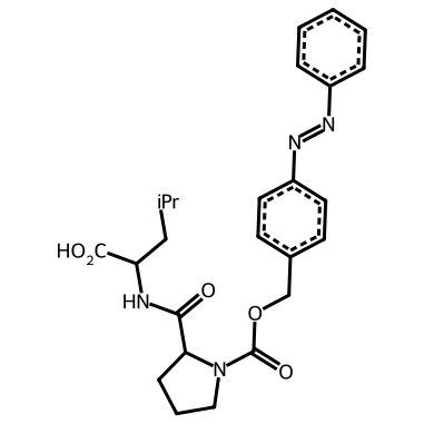 CC(C)CC(NC(=O)C1CCCN1C(=O)OCc1ccc(/N=N/c2ccccc2)cc1)C(=O)O